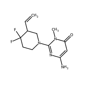 C=CC1CN(c2nc(N)cc(=O)n2C)CCC1(F)F